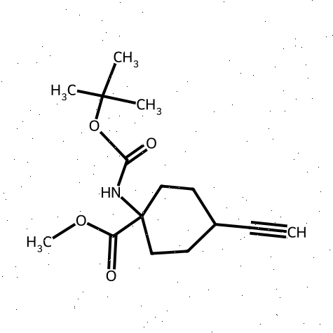 C#CC1CCC(NC(=O)OC(C)(C)C)(C(=O)OC)CC1